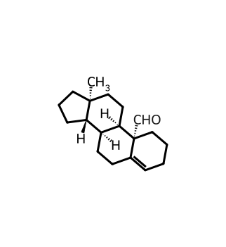 C[C@@]12CCC[C@H]1[C@@H]1CCC3=CCCC[C@]3(C=O)[C@@H]1CC2